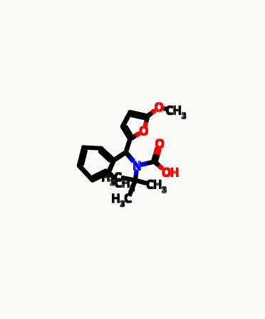 COc1ccc(C(c2ccccc2C)N(C(=O)O)C(C)(C)C)o1